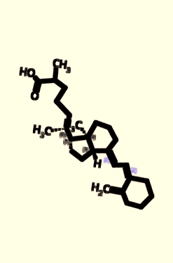 C=C1CCCC/C1=C/C=C1\CCC[C@]2(C)[C@@H]([C@H](C)CCCC(C)C(=O)O)CC[C@@H]12